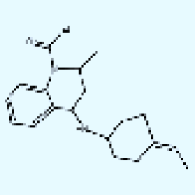 CC=C1CCC(NC2CC(C)N(C(=O)CC)c3ccccc32)CC1